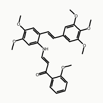 COc1cc(C=Cc2cc(OC)c(OC)c(OC)c2)c(NC=CC(=O)c2ccccc2OC)cc1OC